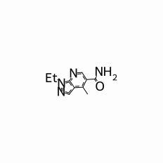 CCn1ncc2c(C)c(C(N)=O)cnc21